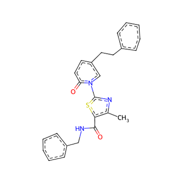 Cc1nc(-n2cc(CCc3ccccc3)ccc2=O)sc1C(=O)NCc1ccccc1